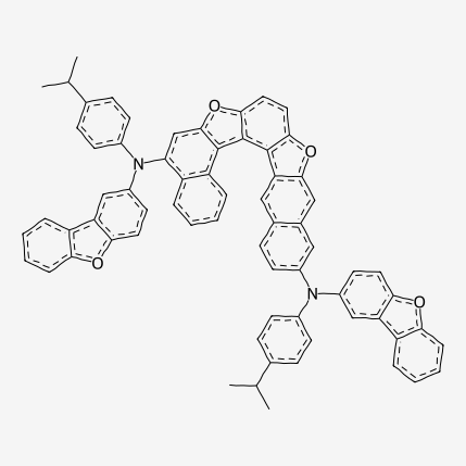 CC(C)c1ccc(N(c2ccc3cc4c(cc3c2)oc2ccc3oc5cc(N(c6ccc(C(C)C)cc6)c6ccc7oc8ccccc8c7c6)c6ccccc6c5c3c24)c2ccc3oc4ccccc4c3c2)cc1